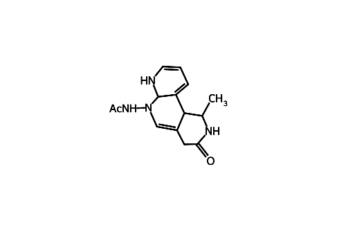 CC(=O)NN1C=C2CC(=O)NC(C)C2C2=CC=CNC21